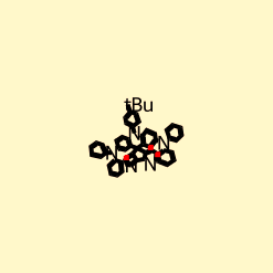 CC(C)(C)c1ccc(N2c3ccc(N(c4ccccc4)c4ccccc4)cc3C3(c4cc(N(c5ccccc5)c5ccccc5)ccc42)c2cccnc2-c2ncccc23)cc1